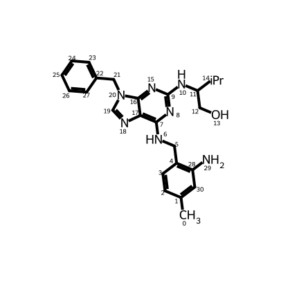 Cc1ccc(CNc2nc(NC(CO)C(C)C)nc3c2ncn3Cc2ccccc2)c(N)c1